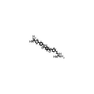 N=C(N)NCCc1ccc(NC(=O)C23CCC(C(=O)Nc4ccc(C5=CCN(C(=N)N)CC5)cc4)(CC2)CC3)cc1